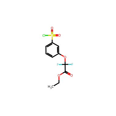 CCOC(=O)C(F)(F)Oc1cccc(S(=O)(=O)Cl)c1